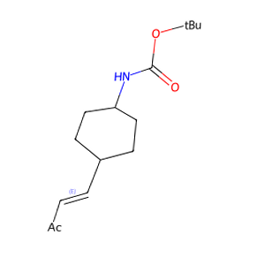 CC(=O)/C=C/C1CCC(NC(=O)OC(C)(C)C)CC1